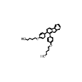 OCCCCOc1ccc(-c2ccc3c(c2-c2ccc(OCCCCO)cc2)Cc2ccccc2-3)cc1